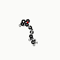 COc1ccc2c(c1)CCCC(c1ccccc1)=C2c1c(F)cc(N2CCC(CN3CCN(c4ccc5c(c4)CN([C@H]4CCC(=O)NC4=O)C5=O)CC3)CC2)cc1F